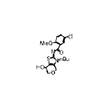 CCCCn1c2c(sc1=NC(=O)c1cc(Cl)ccc1OC)C(O)COC2